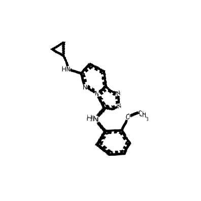 COc1ccccc1Nc1nnc2ccc(NC3CC3)nn12